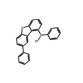 CC(C)N(c1ccccc1)c1cccc2oc3ccc(-c4ccccc4)cc3c12